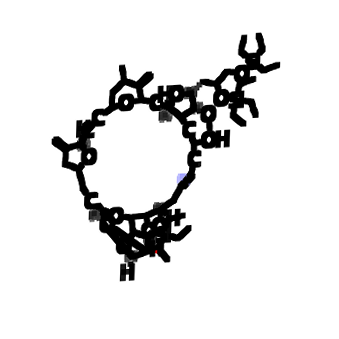 C=C1C(C)CC2CC[C@@H]3OC(CC[C@@]45C[C@H]6OC7C(O4)C(O[Si](CC)(CC)CC)[C@H](C/C=C/CC(O)CC4[C@H](CC1O2)O[C@H](CC(CO[Si](CC)(CC)CC)O[Si](CC)(CC)CC)[C@@H]4OC)O[C@H]7C6O5)CC3=C